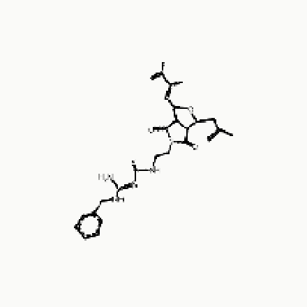 C=C(C)CC1OC(/C=C(\C)C(=C)C)C2C(=O)N(CCNC(=S)/N=C(\N)NCc3ccccc3)C(=O)C12